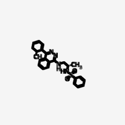 C[C@@H](CNc1nnc(C2=CC=CC[C@@H]2C)c2ccccc12)NS(=O)(=O)c1ccccc1